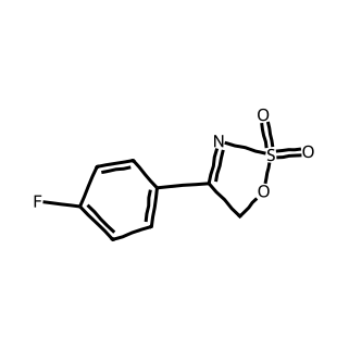 O=S1(=O)N=C(c2ccc(F)cc2)CO1